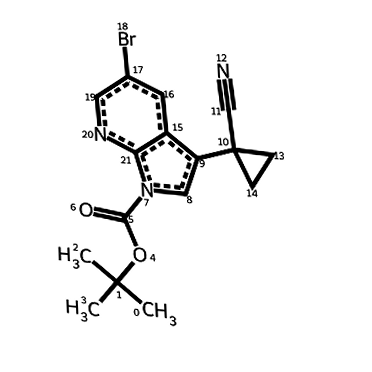 CC(C)(C)OC(=O)n1cc(C2(C#N)CC2)c2cc(Br)cnc21